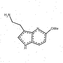 COc1ccc2[nH]cc(CCN)c2n1